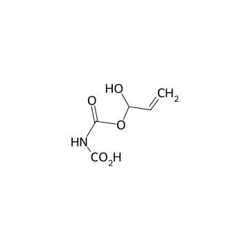 C=CC(O)OC(=O)NC(=O)O